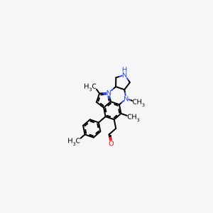 Cc1ccc(-c2c(CC=O)c(C)c3c4c2cc(C)n4C2CNCC2N3C)cc1